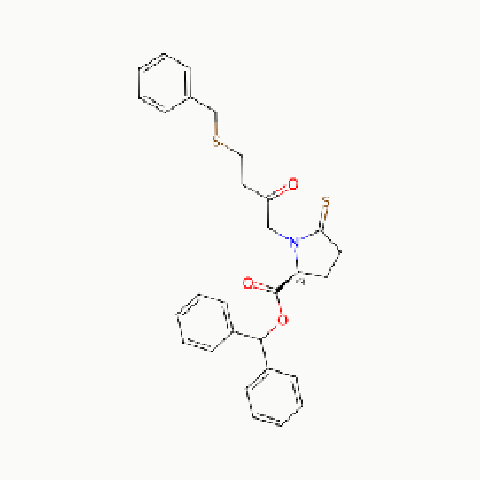 O=C(CCSCc1ccccc1)CN1C(=S)CC[C@H]1C(=O)OC(c1ccccc1)c1ccccc1